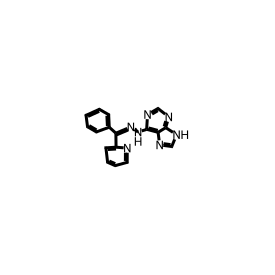 c1ccc(C(=NNc2ncnc3[nH]cnc23)c2ccccn2)cc1